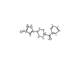 O=C(c1ccccc1)N1CCC(c2nc(Cl)no2)CC1